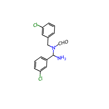 NC(c1cccc(Cl)c1)N(C=O)Cc1cccc(Cl)c1